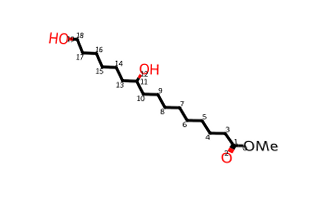 COC(=O)CCCCCCCCC(O)CCCCCCO